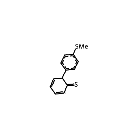 CSc1ccc(C2C=CC=[C]C2=S)cc1